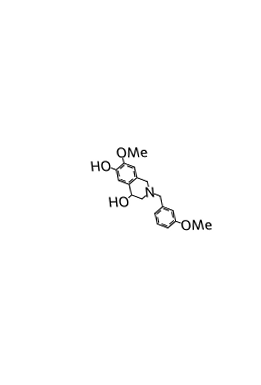 COc1cccc(CN2Cc3cc(OC)c(O)cc3C(O)C2)c1